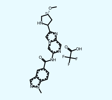 CO[C@H]1CNC(c2cn3cc(NC(=O)c4ccc5c(cnn5C)c4)ncc3n2)C1.O=C(O)C(F)(F)F